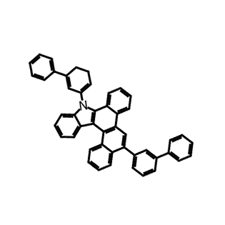 C1=C(c2ccccc2)CCC=C1n1c2ccccc2c2c3c4ccccc4c(-c4cccc(-c5ccccc5)c4)cc3c3ccccc3c21